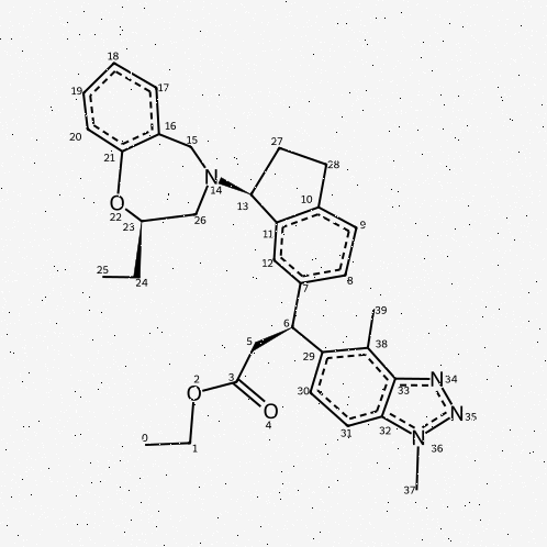 CCOC(=O)C[C@@H](c1ccc2c(c1)[C@@H](N1Cc3ccccc3O[C@H](CC)C1)CC2)c1ccc2c(nnn2C)c1C